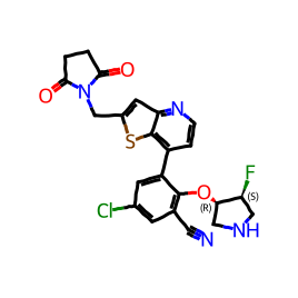 N#Cc1cc(Cl)cc(-c2ccnc3cc(CN4C(=O)CCC4=O)sc23)c1O[C@@H]1CNC[C@@H]1F